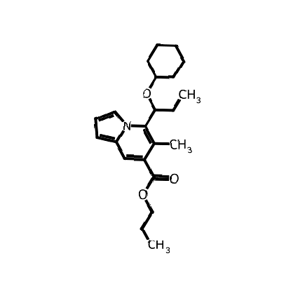 CCCOC(=O)c1cc2cccn2c(C(CC)OC2CCCCC2)c1C